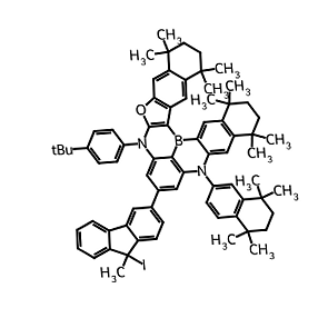 CC(C)(C)c1ccc(N2c3cc(-c4ccc5c(c4)-c4ccccc4C5(C)I)cc4c3B(c3cc5c(cc3N4c3ccc4c(c3)C(C)(C)CCC4(C)C)C(C)(C)CCC5(C)C)c3c2oc2cc4c(cc32)C(C)(C)CCC4(C)C)cc1